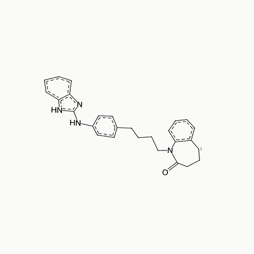 O=C1CC[C]c2ccccc2N1CCCCc1ccc(Nc2nc3ccccc3[nH]2)cc1